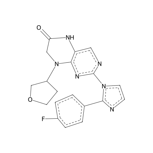 O=C1CN(C2CCOC2)c2nc(-n3ccnc3-c3ccc(F)cc3)ncc2N1